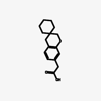 O=C(O)Cc1ccc2c(c1)OCC1(CCCCC1)C2